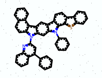 c1ccc(-c2cc(-n3c4cc5c(cc4c4c6ccccc6ccc43)c3ccc4c6ccccc6sc4c3n5-c3ccccc3)nc3ccccc23)cc1